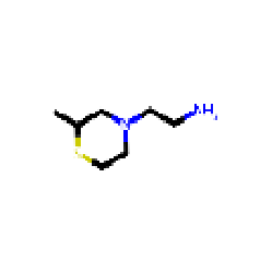 CC1CN(CCN)CCS1